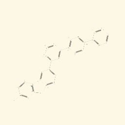 Cc1ccc2c(c1)sc1ccc(-c3cc(-c4ccc(-c5cccnc5)cc4)ncn3)cc12